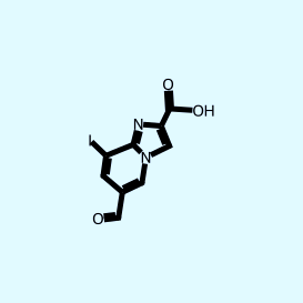 O=Cc1cc(I)c2nc(C(=O)O)cn2c1